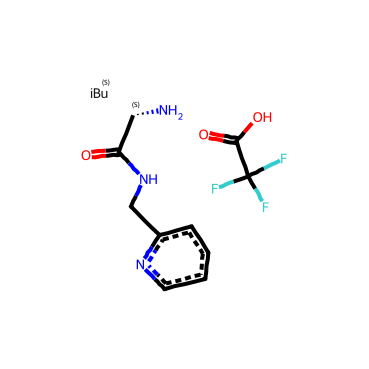 CC[C@H](C)[C@H](N)C(=O)NCc1ccccn1.O=C(O)C(F)(F)F